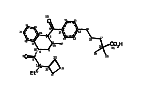 CCN(C(=O)[C@H]1C[C@H](C)N(C(=O)c2ccc(CCCC(C)(C)C(=O)O)cc2)c2ccccc21)C1CCC1